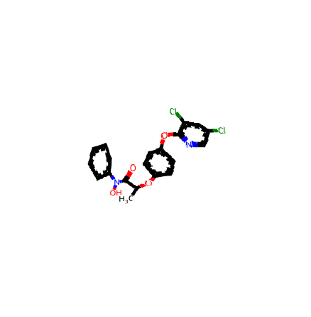 CC(Oc1ccc(Oc2ncc(Cl)cc2Cl)cc1)C(=O)N(O)c1ccccc1